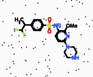 COc1nc(N2CCNCC2)ccc1NS(=O)(=O)c1ccc(C(C)C(F)F)cc1